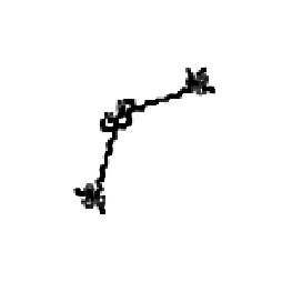 CCO[Si](CCCCCCCCCc1ccnc2c1ccc1c(CCCCCCCCC[Si](OCC)(OCC)OCC)ccnc12)(OC)OCC